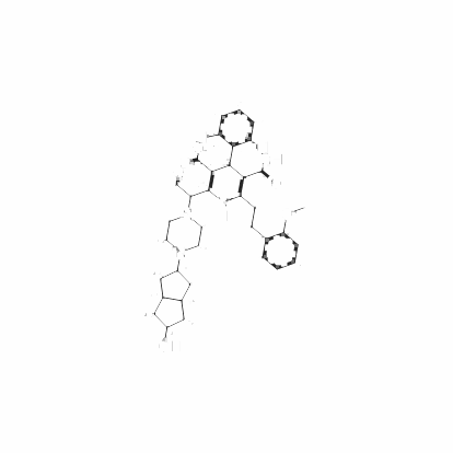 COc1ccccc1CCC1=C(C(=O)O)C(c2c(Cl)cccc2Cl)C(C(=O)O)=C(C(C=O)N2CCN(C3CC4CC(O)CC4C3)CC2)N1